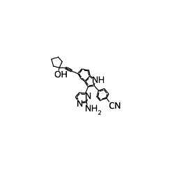 N#Cc1ccc(-c2[nH]c3ccc(C#CC4(O)CCCC4)cc3c2-c2ccnc(N)n2)cc1